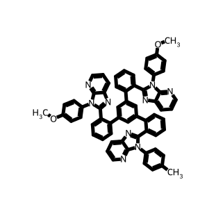 COc1ccc(-n2c(-c3ccccc3-c3cc(-c4ccccc4-c4nc5cccnc5n4-c4ccc(C)cc4)cc(-c4ccccc4-c4nc5cccnc5n4-c4ccc(OC)cc4)c3)nc3cccnc32)cc1